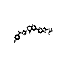 CC(=O)Nc1cn2nc(-c3cnc4c(c3)C(=O)N(c3cnn(C(C)c5ccc(F)cc5)c3)CC4)ccc2n1